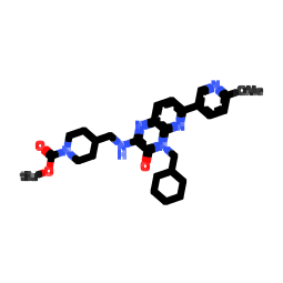 COc1ccc(-c2ccc3nc(NCC4CCN(C(=O)OC(C)(C)C)CC4)c(=O)n(CC4CCCCC4)c3n2)cn1